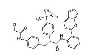 CC(C)(C)c1ccc(C(Cc2ccc(NC(=O)CCl)cc2)C(=O)Nc2ccccc2-c2ccc3cccc-3o2)cc1